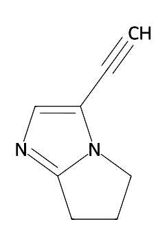 C#Cc1cnc2n1CCC2